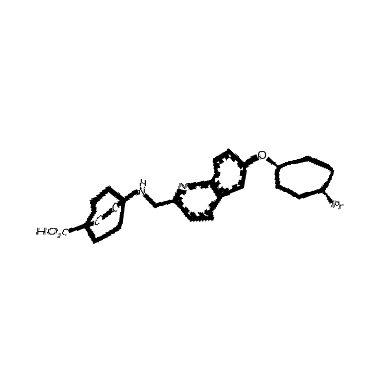 CC(C)[C@H]1CC[C@@H](Oc2ccc3nc(CNC45CCC(C(=O)O)(CC4)CC5)ccc3c2)CC1